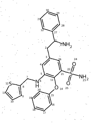 NC(Cc1cc(NCc2cccs2)c(Oc2ccccc2)c(S(N)(=O)=O)c1)c1ccccc1